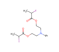 CC(I)C(=O)OCCN(CCOC(=O)C(C)I)C(C)C